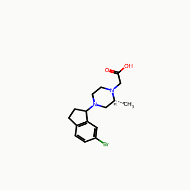 C[C@@H]1CN(C2CCc3ccc(Br)cc32)CCN1CC(=O)O